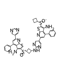 Nc1c([S+]([O-])C2CCC2)sc2nc(-c3cnc(NC4CC([S+]([O-])c5sc6nc(-c7cncnc7)cc(-c7ccccc7)c6c5N)C4)nc3)cc(-c3ccccc3)c12